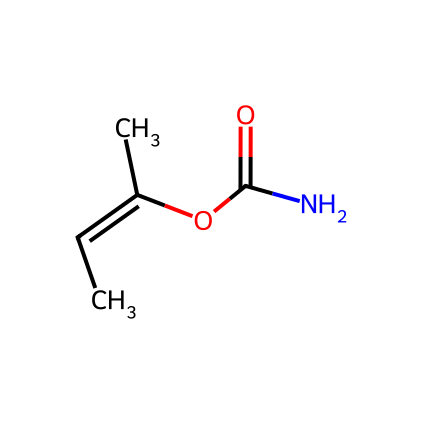 CC=C(C)OC(N)=O